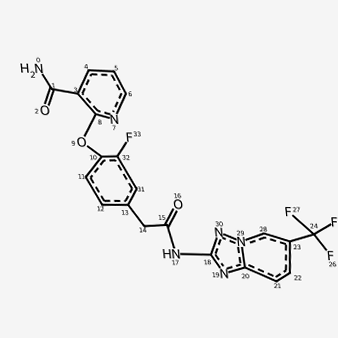 NC(=O)c1cccnc1Oc1ccc(CC(=O)Nc2nc3ccc(C(F)(F)F)cn3n2)cc1F